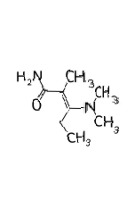 CCC(=C(C)C(N)=O)N(C)C